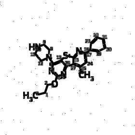 CCCOc1nc(N2CCNCC2)c2sc3nc(-c4ccccc4)cc(C)c3c2n1